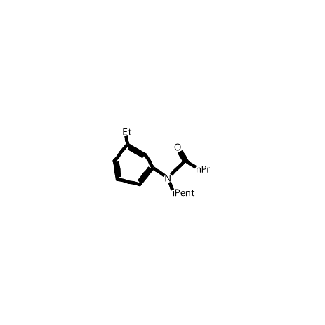 CCCC(=O)N(c1cccc(CC)c1)C(C)CCC